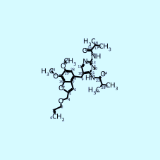 C=CCOCc1cc2c(Cc3cnc(NC(=O)C(C)C)nc3NC(=O)C(C)C)cc(OC)c(OC)c2o1